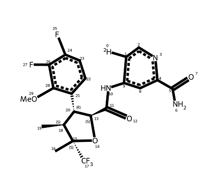 [2H]c1cnc(C(N)=O)cc1NC(=O)[C@H]1O[C@](C)(C(F)(F)F)[C@@H](C)[C@@H]1c1ccc(F)c(F)c1OC